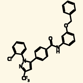 O=C(Nc1cccc(OCc2ccccc2)c1)c1ccc(-c2cc(C(F)(F)F)nn2-c2ccccc2Cl)cc1